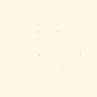 O=C1N=c2nc(Cl)c(Cl)c(O)c2=NC1=O